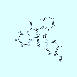 C=C[SH](c1ccccc1)P(=S)(Oc1ccc(Cl)cc1)c1ccccc1